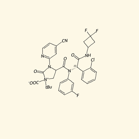 CC(C)(C)[N+]1(C(=O)[O-])CC(C(=O)N(c2cccc(F)c2)[C@H](C(=O)NC2CC(F)(F)C2)c2ccccc2Cl)N(c2cc(C#N)ccn2)C1=O